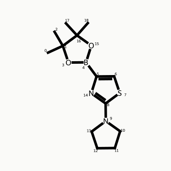 CC1(C)OB(c2csc(N3CCCC3)n2)OC1(C)C